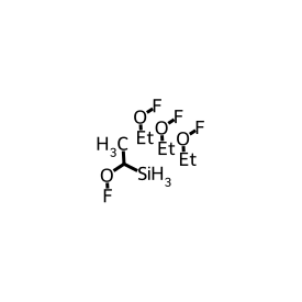 CC([SiH3])OF.CCOF.CCOF.CCOF